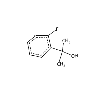 CC(C)(O)c1ccc[c]c1F